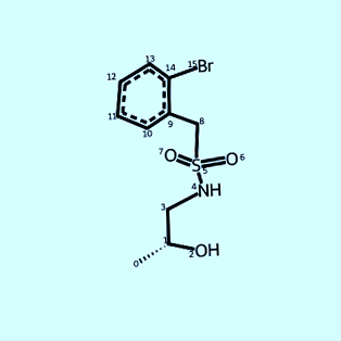 C[C@@H](O)CNS(=O)(=O)Cc1ccccc1Br